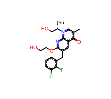 Cc1cn([C@H](CO)C(C)(C)C)c2nc(OCCO)c(Cc3cccc(Cl)c3F)cc2c1=O